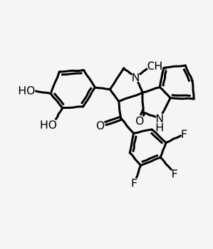 CN1CC(c2ccc(O)c(O)c2)C(C(=O)c2cc(F)c(F)c(F)c2)C12C(=O)Nc1ccccc12